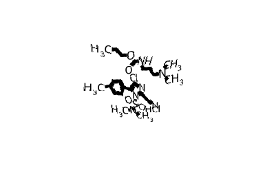 CCCOC(=O)NCCCN(C)C.Cc1ccc(-c2c(Cl)nc(C#N)n2S(=O)(=O)N(C)C)cc1.Cl